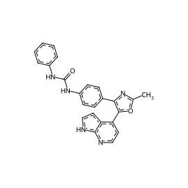 Cc1nc(-c2ccc(NC(=O)Nc3ccccc3)cc2)c(-c2ccnc3[nH]ccc23)o1